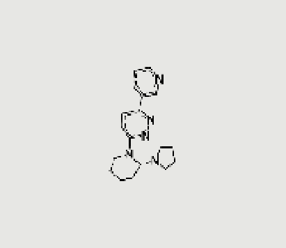 c1cncc(-c2ccc(N3CCCCC3N3CCCC3)nn2)c1